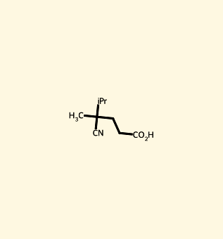 CC(C)C(C)(C#N)CCC(=O)O